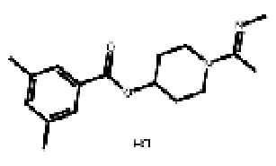 CN=C(C)N1CCC(OC(=O)c2cc(C)cc(C)c2)CC1.Cl